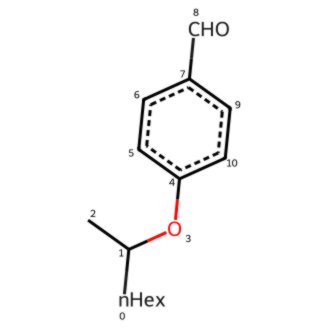 CCCCCCC(C)Oc1ccc(C=O)cc1